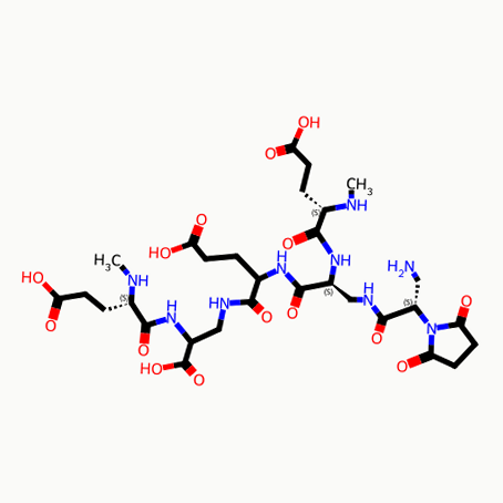 CN[C@@H](CCC(=O)O)C(=O)NC(CNC(=O)C(CCC(=O)O)NC(=O)[C@H](CNC(=O)[C@H](CN)N1C(=O)CCC1=O)NC(=O)[C@H](CCC(=O)O)NC)C(=O)O